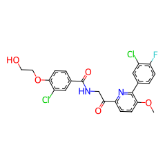 COc1ccc(C(=O)CNC(=O)c2ccc(OCCO)c(Cl)c2)nc1-c1ccc(F)c(Cl)c1